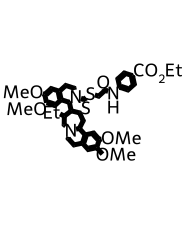 CCOC(=O)c1ccc(NC(=O)CSC(=S)N2CCc3cc(OC)c(OC)cc3C2C2CCC3c4cc(OC)c(OC)cc4CCN3CC2CC)cc1